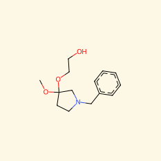 COC1(OCCO)CCN(Cc2ccccc2)C1